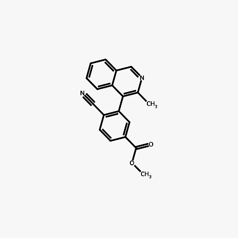 COC(=O)c1ccc(C#N)c(-c2c(C)ncc3ccccc23)c1